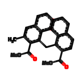 COC(=O)c1ccc2ccccc2c1Cc1c(C(=O)OC)c(C)cc2ccccc12